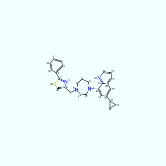 c1ccc(-c2nc(CN3CCCN(c4cc(C5CC5)cc5cccnc45)CC3)cs2)cc1